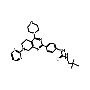 CC(C)(C)CNC(=O)Nc1ccc(-c2nc3c(c(N4CCOCC4)n2)CCN(c2ncccn2)C3)cc1